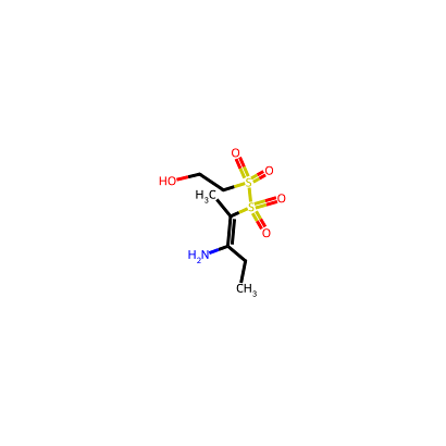 CCC(N)=C(C)S(=O)(=O)S(=O)(=O)CCO